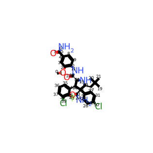 COc1cc(C(N)=O)ccc1NC(=O)[C@@H]1N[C@@H](CC(C)(C)C)[C@](C(N)=O)(c2ccc(Cl)cc2)[C@H]1c1cccc(Cl)c1F